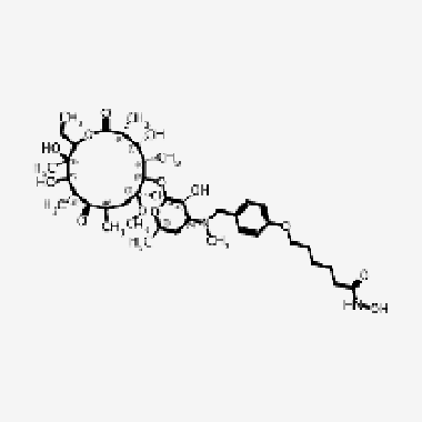 CCC1OC(=O)[C@H](C)[C@H](O)[C@H](C)[C@@H](OC2O[C@H](C)C[C@H](N(C)Cc3ccc(OCCCCCC(=O)NO)cc3)[C@H]2O)[C@@](C)(OC)C[C@@H](C)C(=O)[C@H](C)[C@@H](O)[C@]1(C)O